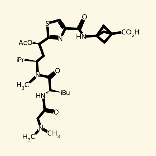 CC[C@H](C)[C@H](NC(=O)CN(C)C)C(=O)N(C)[C@H](C[C@@H](OC(C)=O)c1nc(C(=O)NC23CC(C(=O)O)(C2)C3)cs1)C(C)C